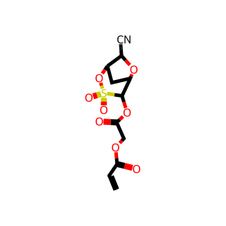 C=CC(=O)OCC(=O)OC1C2CC(OS1(=O)=O)C(C#N)O2